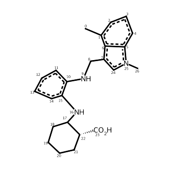 Cc1cccc2c1c(CNc1ccccc1NC1CCCC[C@H]1C(=O)O)cn2C